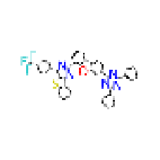 FC(F)(F)c1ccc(-c2nc(-c3cccc4c3oc3cc(-c5nc(-c6ccccc6)nc(-c6ccccc6)n5)ccc34)nc3c2sc2ccccc23)cc1